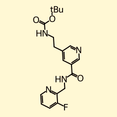 CC(C)(C)OC(=O)NCCc1cncc(C(=O)NCc2ncccc2F)c1